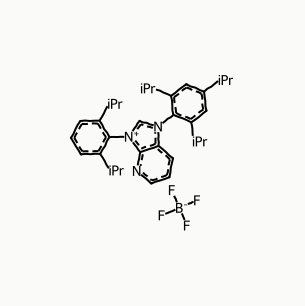 CC(C)c1cc(C(C)C)c(-n2c[n+](-c3c(C(C)C)cccc3C(C)C)c3ncccc32)c(C(C)C)c1.F[B-](F)(F)F